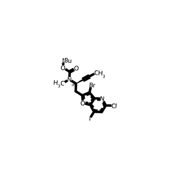 CC#C[C@@H](Cc1oc2c(I)cc(Cl)nc2c1Br)N(C)C(=O)OC(C)(C)C